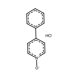 Cl.[O-][n+]1ccc(-c2ccccc2)cc1